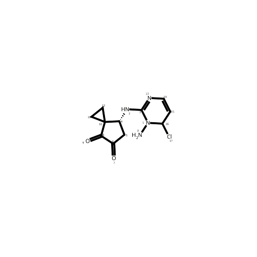 NN1C(N[C@@H]2CC(=O)C(=O)C23CC3)=NC=CC1Cl